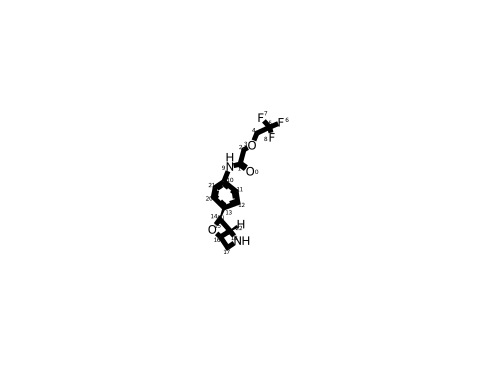 O=C(COCC(F)(F)F)Nc1ccc([C@@H]2OC3CN[C@H]32)cc1